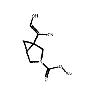 CC(C)(C)OC(=O)N1CC2CC2(C(C#N)=CO)C1